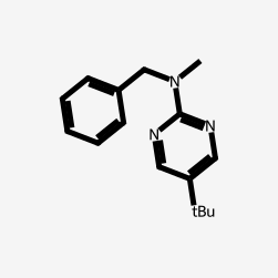 CN(Cc1ccccc1)c1ncc(C(C)(C)C)cn1